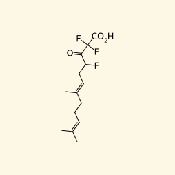 CC(C)=CCC/C(C)=C/CC(F)C(=O)C(F)(F)C(=O)O